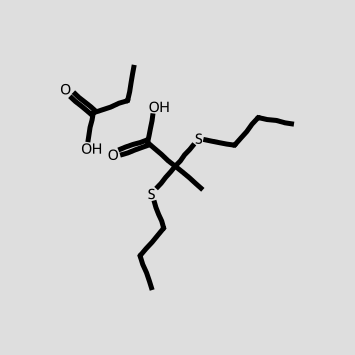 CCC(=O)O.CCCSC(C)(SCCC)C(=O)O